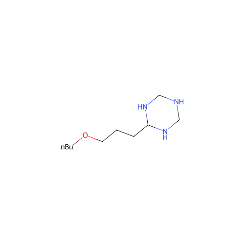 CCCCOCCCC1NCNCN1